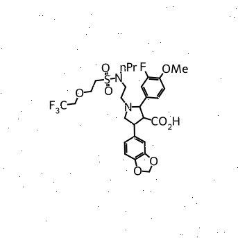 CCCN(CCN1CC(c2ccc3c(c2)OCO3)C(C(=O)O)C1c1ccc(OC)c(F)c1)S(=O)(=O)CCOCC(F)(F)F